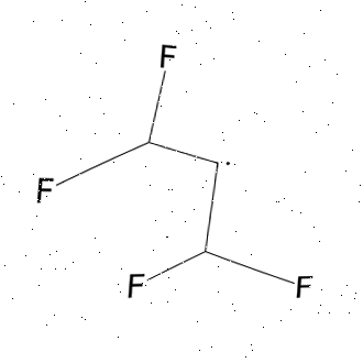 FC(F)[CH]C(F)F